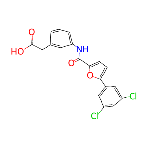 O=C(O)Cc1cccc(NC(=O)c2ccc(-c3cc(Cl)cc(Cl)c3)o2)c1